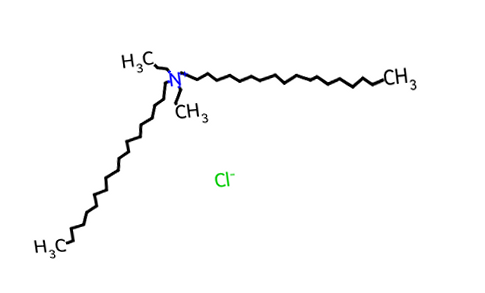 CCCCCCCCCCCCCCCCCCC[N+](CCC)(CCC)CCCCCCCCCCCCCCCCCCC.[Cl-]